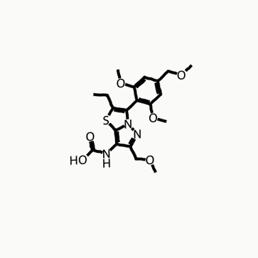 CCc1sc2c(NC(=O)O)c(COC)nn2c1-c1c(OC)cc(COC)cc1OC